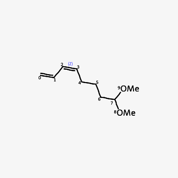 C=C/C=C\CCCC(OC)OC